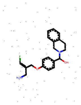 NC/C(=C/F)COc1ccc(C(O)N2CCc3ccccc3C2)cc1